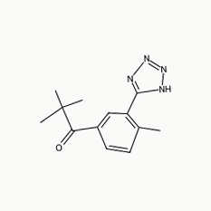 Cc1ccc(C(=O)C(C)(C)C)cc1-c1nnn[nH]1